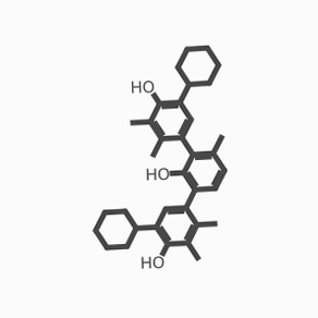 Cc1ccc(-c2cc(C3CCCCC3)c(O)c(C)c2C)c(O)c1-c1cc(C2CCCCC2)c(O)c(C)c1C